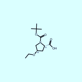 CCO[C@@H]1C[C@@H](C(=O)O)N(C(=O)OC(C)(C)C)C1